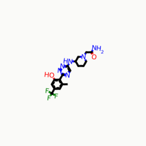 Cc1cc(C(F)(F)F)cc(O)c1-c1ncc(NC2CCCN(CC(N)=O)C2)nn1